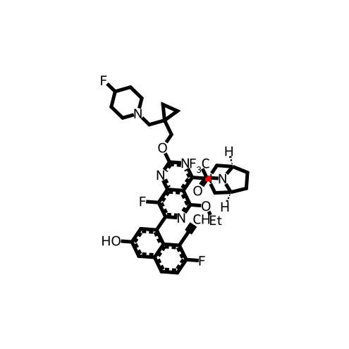 C#Cc1c(F)ccc2cc(O)cc(-c3nc(OCC)c4c(N5C[C@H]6CC[C@@H](C5)N6C(=O)C(F)(F)F)nc(OCC5(CN6CCC(F)CC6)CC5)nc4c3F)c12